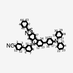 N#Cc1ccc(-c2cccc(-n3c4ccc(-c5ccc(N(c6ccccc6)c6ccccc6)cc5)cc4c4cc5sc(-c6ccccc6)nc5cc43)c2)cc1